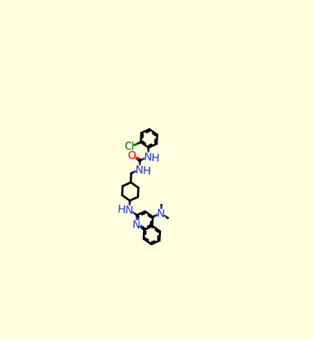 CN(C)c1cc(NC2CCC(CNC(=O)Nc3ccccc3Cl)CC2)nc2ccccc12